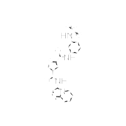 CS(=O)(=O)Nc1cccc(NC(=O)c2cc(C(=O)Nc3cnc4ccccn34)cs2)c1